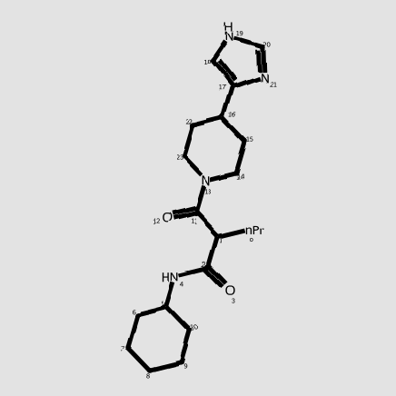 CCCC(C(=O)NC1CCCCC1)C(=O)N1CCC(c2c[nH]cn2)CC1